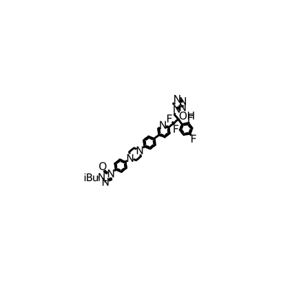 CCC(C)n1ncn(-c2ccc(N3CCN(c4ccc(-c5ccc(C(F)(F)[C@](O)(Cn6cnnn6)c6ccc(F)cc6F)nc5)cc4)CC3)cc2)c1=O